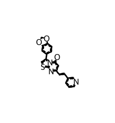 O=c1cc(/C=C/c2cccnc2)nc2scc(-c3ccc4c(c3)OCO4)n12